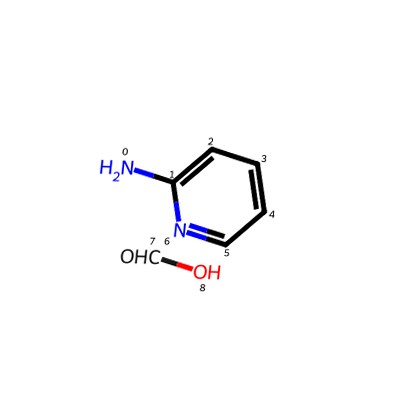 Nc1ccccn1.O=CO